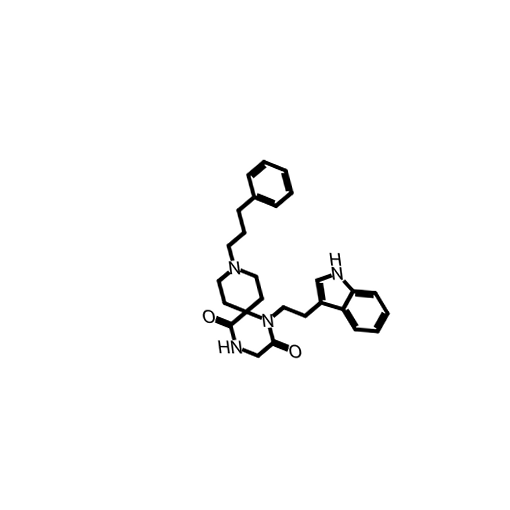 O=C1CNC(=O)C2(CCN(CCCc3ccccc3)CC2)N1CCc1c[nH]c2ccccc12